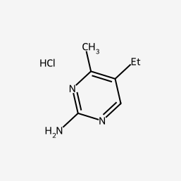 CCc1cnc(N)nc1C.Cl